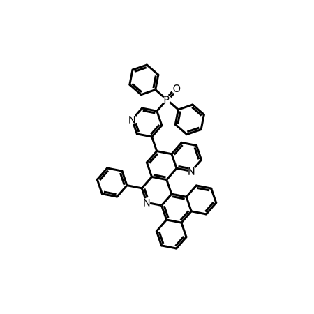 O=P(c1ccccc1)(c1ccccc1)c1cncc(-c2cc3c(-c4ccccc4)nc4c5ccccc5c5ccccc5c4c3c3ncccc23)c1